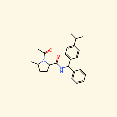 CC(=O)N1C(C)CCC1C(=O)NC(c1ccccc1)c1ccc(C(C)C)cc1